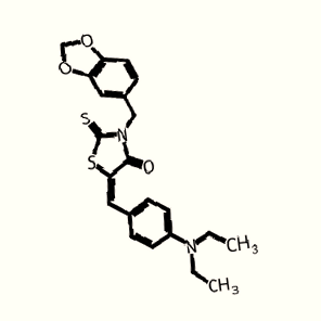 CCN(CC)c1ccc(/C=C2/SC(=S)N(Cc3ccc4c(c3)OCO4)C2=O)cc1